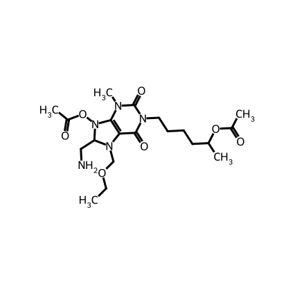 CCOCN1c2c(n(C)c(=O)n(CCCCC(C)OC(C)=O)c2=O)N(OC(C)=O)C1CN